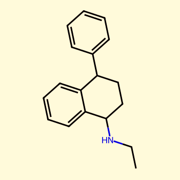 CCNC1CCC(c2ccccc2)c2ccccc21